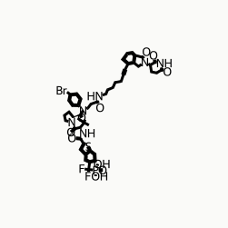 CC(C)(C)[C@H](NC(=O)c1cc2cc(C(F)(F)P(=O)(O)O)ccc2s1)C(=O)N1CCC[C@H]1C(=O)N(CCC(=O)NCCCCCC#Cc1cccc2c1CN(C1CCC(=O)NC1=O)C2=O)c1ccc(Br)cc1